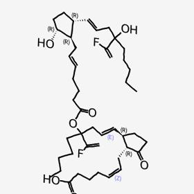 C=C(F)C(O)(CC=C[C@H]1CC[C@@H](O)[C@@H]1CC=CCCCC(=O)OC(C/C=C/[C@H]1CCC(=O)[C@@H]1C/C=C\CCCC(=O)O)(CCCCC)C(=C)F)CCCCC